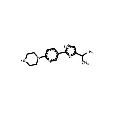 CC(C)c1c[nH]c(-c2ccc(N3CCNCC3)nc2)n1